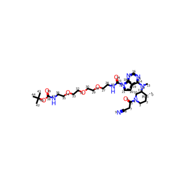 C[C@@H]1CCN(C(=O)CC#N)CC1N(C)c1ncnc2c1ccn2C(=O)NCCOCCOCCOCCNC(=O)OC(C)(C)C